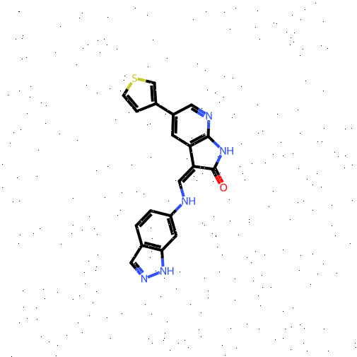 O=C1Nc2ncc(-c3ccsc3)cc2C1=CNc1ccc2cn[nH]c2c1